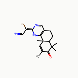 CC1(C)C(=O)C(C#N)=CC2(C)C3=C(C=N/C(=C(\Br)C=N)N3)CCC12